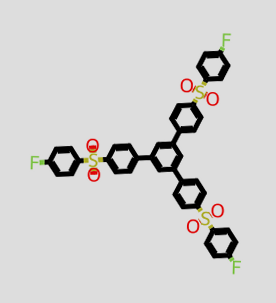 O=S(=O)(c1ccc(F)cc1)c1ccc(-c2cc(-c3ccc(S(=O)(=O)c4ccc(F)cc4)cc3)cc(-c3ccc(S(=O)(=O)c4ccc(F)cc4)cc3)c2)cc1